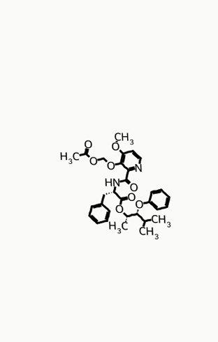 COc1ccnc(C(=O)N[C@@H](Cc2ccccc2)C(=O)O[C@@H](C)[C@H](Oc2ccccc2)C(C)C)c1OCOC(C)=O